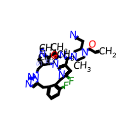 C=CC(=O)N1CC(C)N(c2nc(=O)n3c4nc(c(F)cc24)-c2c(F)cccc2Cc2cnnn2CC(=C/C)/C3=C(\N=C)C(C)C)CC1CC#N